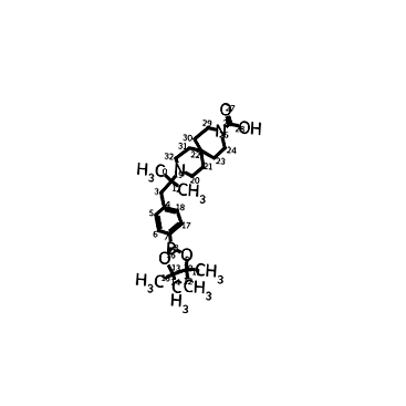 CC(C)(Cc1ccc(B2OC(C)(C)C(C)(C)O2)cc1)N1CCC2(CCN(C(=O)O)CC2)CC1